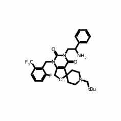 CC(C)(C)CN1CCC2(CC1)OCc1c2c(=O)n(CC(N)c2ccccc2)c(=O)n1Cc1c(F)cccc1C(F)(F)F